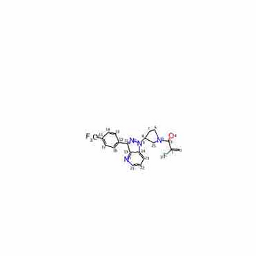 C=C(F)C(=O)N1CCC(n2nc(-c3ccc(C(F)(F)F)cc3)c3ncccc32)C1